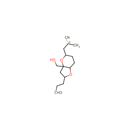 C[C@@H](C#N)CC1CCC2OC(CCC=O)CC2(CO)O1